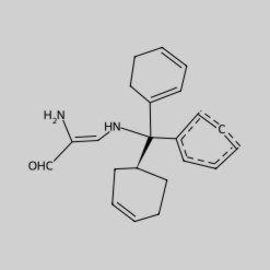 N/C(C=O)=C\NC(C1=CC=CCC1)(c1ccccc1)[C@@H]1CC=CCC1